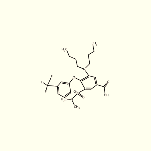 CCCCN(CCCC)c1cc(C(=O)O)cc(S(=O)(=O)N(C)C)c1Oc1cccc(C(F)(F)F)c1